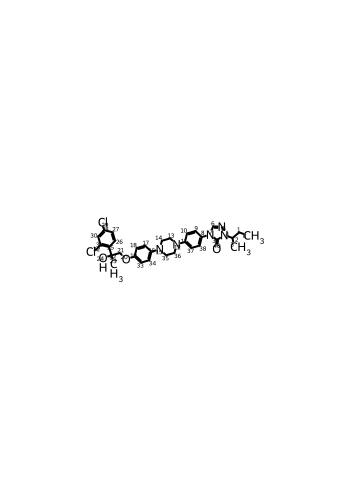 CCC(C)n1ncn(-c2ccc(N3CCN(c4ccc(OCC(C)(O)c5ccc(Cl)cc5Cl)cc4)CC3)cc2)c1=O